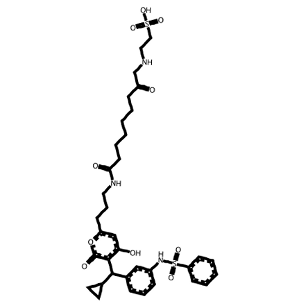 O=C(CCCCCCC(=O)NCCCc1cc(O)c(C(c2cccc(NS(=O)(=O)c3ccccc3)c2)C2CC2)c(=O)o1)CNCCS(=O)(=O)O